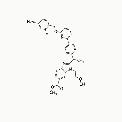 COCCn1c(C(C)c2ccc(-c3cccc(OCc4ccc(C#N)cc4F)n3)cc2)nc2ccc(C(=O)OC)cc21